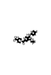 O=C(O)C1CCN(C(=O)c2cc3c(cn2)c(Nc2ccc(F)cn2)nn3CC(F)(F)F)CC1